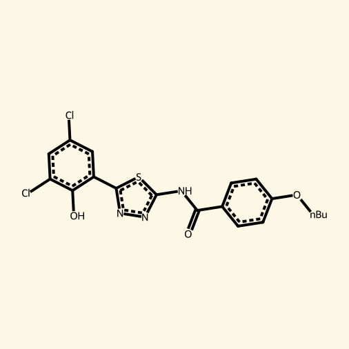 CCCCOc1ccc(C(=O)Nc2nnc(-c3cc(Cl)cc(Cl)c3O)s2)cc1